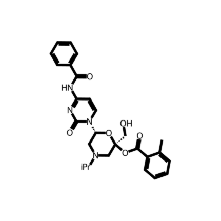 Cc1ccccc1C(=O)O[C@@]1(CO)CN(C(C)C)C[C@H](n2ccc(NC(=O)c3ccccc3)nc2=O)O1